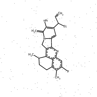 C=CC(CC)C1=C(CCC)C(=C)N2Cc3c(nc4cc(F)c(C)c5c4c3C(C)CC5)C2=C1